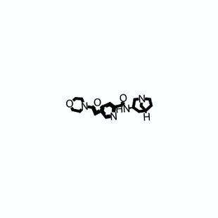 O=C(N[C@@H]1C[C@H]2CCN(C2)C1)c1cc2oc(N3CCOCC3)cc2cn1